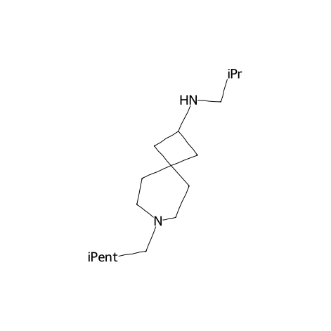 CCCC(C)CN1CCC2(CC1)CC(NCC(C)C)C2